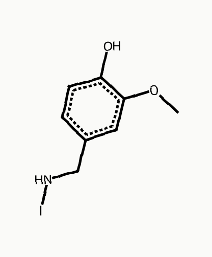 COc1cc(CNI)ccc1O